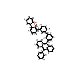 c1ccc(-c2c3ccccc3c(-c3cccc(-c4cccc(-c5cccc6c5oc5ccccc56)c4)c3)c3ccccc23)cc1